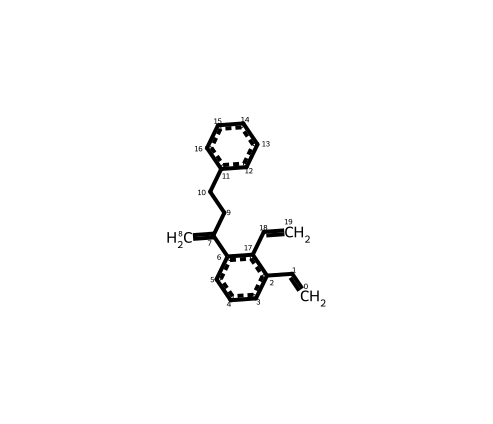 C=Cc1cccc(C(=C)CCc2ccccc2)c1C=C